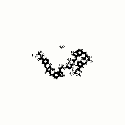 CC(C)NC(=O)c1cccc(CN2C(=O)NC(Cc3ccc4[nH]cc(CC(N)OC(=O)/C=C\C(=O)OC(N)Cc5c[nH]c6ccc(CC7NC(=O)N(Cc8cccc(C(=O)NC(C)C)c8)C7=O)cc56)c4c3)C2=O)c1.O